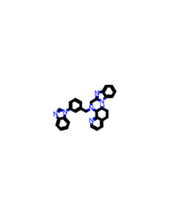 c1cc(CN(Cc2nc3ccccc3[nH]2)C2CCCc3cccnc32)cc(-n2cnc3ccccc32)c1